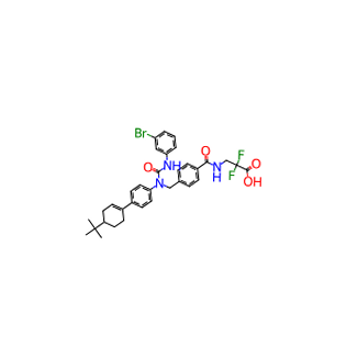 CC(C)(C)C1CC=C(c2ccc(N(Cc3ccc(C(=O)NCC(F)(F)C(=O)O)cc3)C(=O)Nc3cccc(Br)c3)cc2)CC1